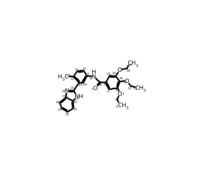 CCOc1cc(C(=O)Nc2ccc(C)c(-c3nc4ccccc4[nH]3)c2)cc(OCC)c1OCC